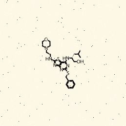 CC(C)C[C@H](CO)Nc1nc(SCc2ccccc2)nc2nc(NCCN3CCOCC3)sc12